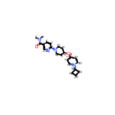 CN(C)C(=O)c1ccc(N2CCC(OC3CCN(C4CCC4)CC3)CC2)nc1